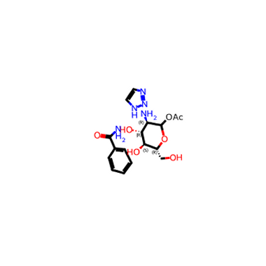 CC(=O)OC1O[C@H](CO)[C@@H](O)[C@H](O)[C@H]1N.NC(=O)c1ccccc1.c1c[nH]nn1